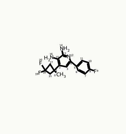 CC1(c2cc(-c3ccc(F)cc3)nc(N)c2N)CC(F)(F)C1